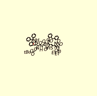 CCOC(Cn1nc(C(S)=CC2=C(C(=O)OC(c3ccccc3)c3ccccc3)N3C(=O)C(NC(=O)C(=NOCC(=O)OC(C)(C)C)c4csc(NC(c5ccccc5)(c5ccccc5)c5ccccc5)n4)C3[S+]([O-])C2)n(C)c(=O)c1=O)OCC